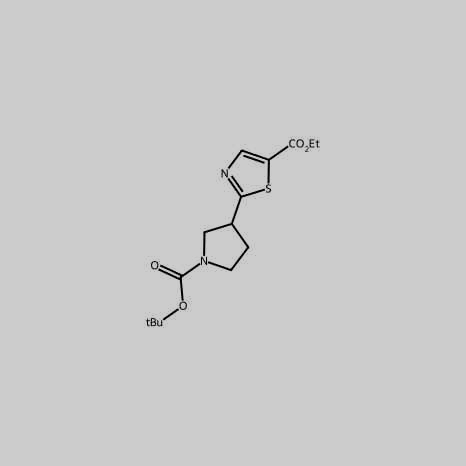 CCOC(=O)c1cnc(C2CCN(C(=O)OC(C)(C)C)C2)s1